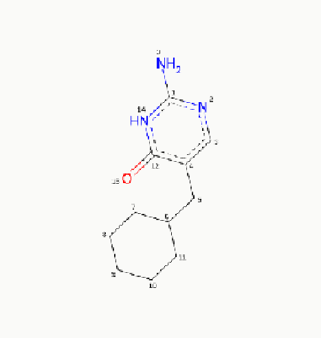 Nc1ncc(CC2CCCCC2)c(=O)[nH]1